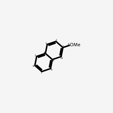 COc1ccc2cc[c]cc2c1